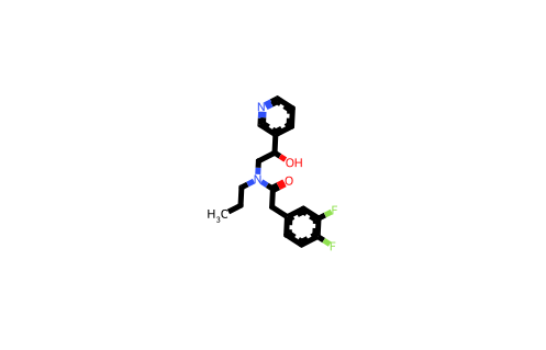 CCCN(CC(O)c1cccnc1)C(=O)Cc1ccc(F)c(F)c1